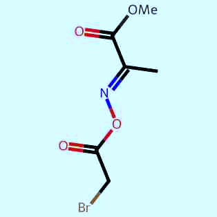 COC(=O)/C(C)=N/OC(=O)CBr